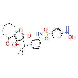 O=C1CCCCCc2oc(=O)c(C(c3cccc(NS(=O)(=O)c4ccc(NO)cc4)c3)C3CC3)c(O)c21